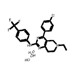 CCN1CCc2nc(Nc3ccc(C(F)(F)F)cc3)nc(-c3ccc(Cl)cc3)c2C1.Cl.Cl.O